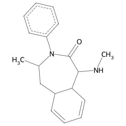 CNC1C(=O)N(c2ccccc2)C(C)CC2C=CC=CC21